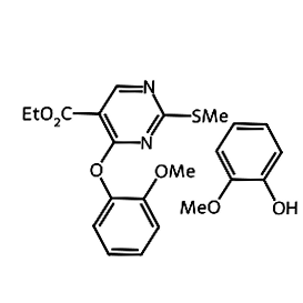 CCOC(=O)c1cnc(SC)nc1Oc1ccccc1OC.COc1ccccc1O